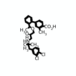 Cc1cc(-c2ccccc2C(C)OC[C@H](O)CNC(C)(C)Cc2ccc(Cl)c(Cl)c2)ccc1C(=O)O